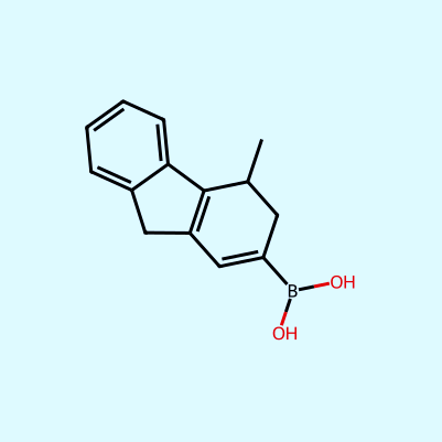 CC1CC(B(O)O)=CC2=C1c1ccccc1C2